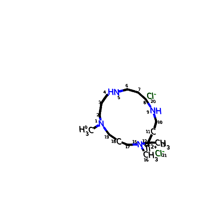 CN1CCCNCCCNCC[C](C)([Ti+2])N(C)CCC1.[Cl-].[Cl-]